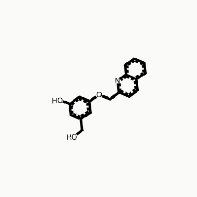 OCc1cc(O)cc(OCc2ccc3ccccc3n2)c1